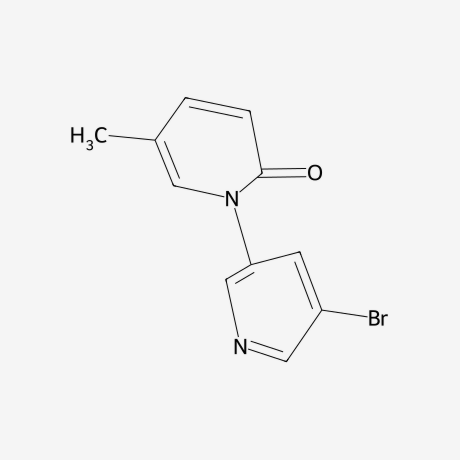 Cc1ccc(=O)n(-c2cncc(Br)c2)c1